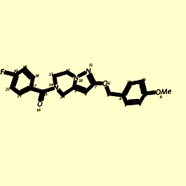 COc1ccc(COc2cc3n(n2)CCN(C(=O)c2ccc(F)cc2)C3)cc1